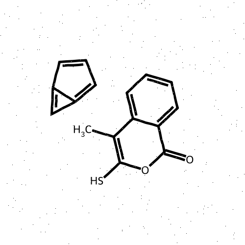 Cc1c(S)oc(=O)c2ccccc12.c1cc2cc-2c1